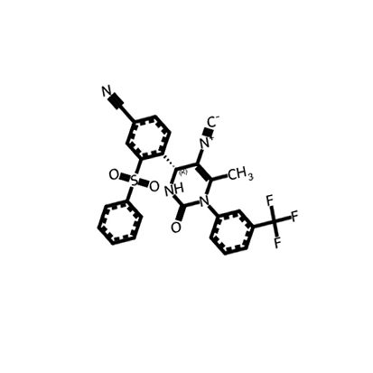 [C-]#[N+]C1=C(C)N(c2cccc(C(F)(F)F)c2)C(=O)N[C@@H]1c1ccc(C#N)cc1S(=O)(=O)c1ccccc1